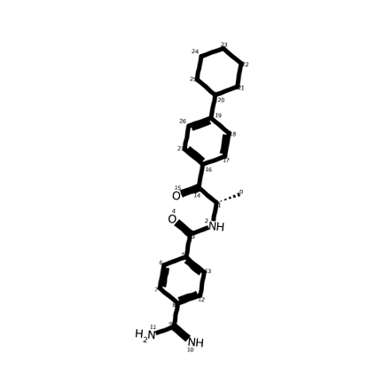 C[C@H](NC(=O)c1ccc(C(=N)N)cc1)C(=O)c1ccc([C]2CCCCC2)cc1